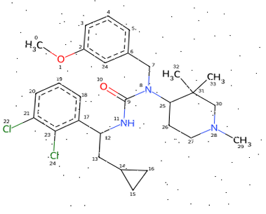 COc1cccc(CN(C(=O)NC(CC2CC2)c2cccc(Cl)c2Cl)C2CCN(C)CC2(C)C)c1